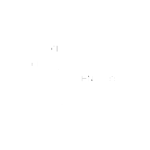 [O-][NH+]1CCCC(Cl)(Cl)C1